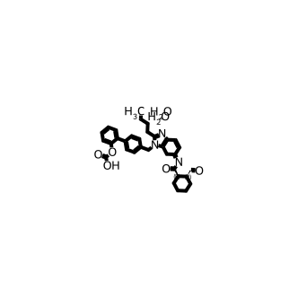 CCCCc1nc2c(n1Cc1ccc(-c3ccccc3OC(=O)O)cc1)CC(=NC(=O)[C@@H]1CCCC[C@H]1C=O)C=C2.O.O